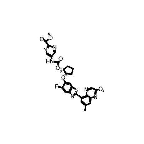 COC(=O)c1ncc(NC(=O)O[C@@H]2CCC[C@@H]2Oc2cc3sc(-c4cc(C)cc5nc(OC)cnc45)nc3cc2F)cn1